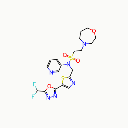 O=S(=O)(CCN1CCCOCC1)N(Cc1ncc(-c2nnc(C(F)F)o2)s1)c1cccnc1